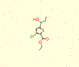 CCOC(=O)c1sc(C(O)CC)cc1Cl